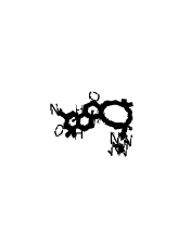 Cn1nnc([C@@]2(C)CCC(C)(C)CCC3C(=O)C[C@@H]4[C@@]5(C)C=C(C#N)C(=O)C(C)(C)[C@@H]5CC[C@@]4(C)[C@]3(C)CC2)n1